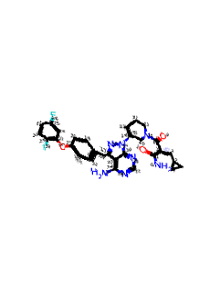 NC(=O)/C(=C\C1CC1)C(=O)N1CCC[C@H](n2nc(-c3ccc(Oc4cc(F)ccc4F)cc3)c3c(N)ncnc32)C1